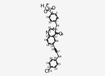 CS(=O)(=O)c1ccc(Cn2cnc3ccc(C#CCc4ccc(Cl)cc4)cc3c2=O)cc1